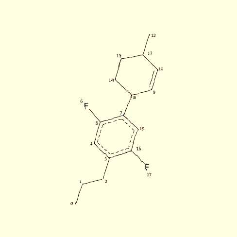 CCCc1cc(F)c(C2C=CC(C)CC2)cc1F